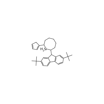 CC(C)(C)c1ccc2c(c1)C(C1CCCCCC(C3=CC=CC3)[SiH2]1)c1cc(C(C)(C)C)ccc1-2